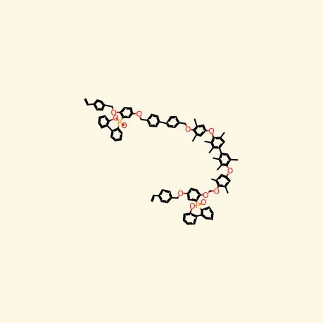 C=Cc1ccc(COc2ccc(OCOc3c(C)cc(Oc4c(C)cc(-c5cc(C)c(Oc6cc(C)c(OCc7ccc(-c8ccc(COc9ccc(OCc%10ccc(C=C)cc%10)c(P%10(=O)Oc%11ccccc%11-c%11ccccc%11%10)c9)cc8)cc7)c(C)c6)c(C)c5C)c(C)c4C)cc3C)c(P3(=O)Oc4ccccc4-c4ccccc43)c2)cc1